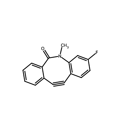 CN1C(=O)c2ccccc2C#Cc2ccc(F)cc21